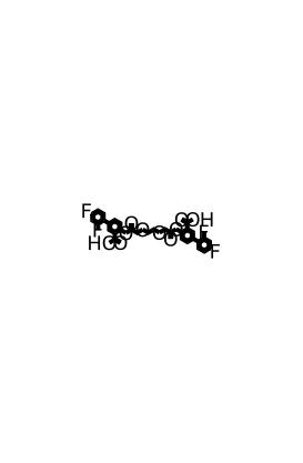 O=C(COCCOCC(=O)Oc1ccc(-c2ccc(F)cc2F)cc1C(=O)O)Oc1ccc(-c2ccc(F)cc2F)cc1C(=O)O